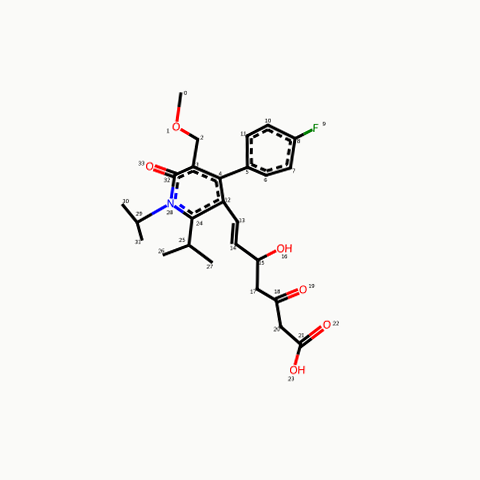 COCc1c(-c2ccc(F)cc2)c(C=CC(O)CC(=O)CC(=O)O)c(C(C)C)n(C(C)C)c1=O